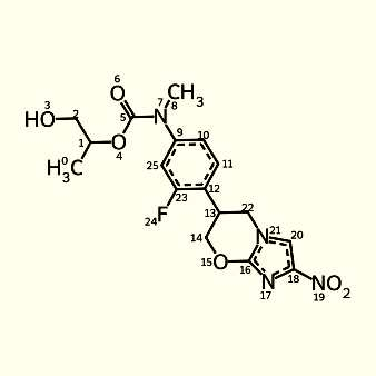 CC(CO)OC(=O)N(C)c1ccc(C2COc3nc([N+](=O)[O-])cn3C2)c(F)c1